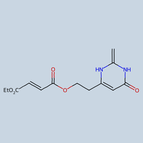 C=C1NC(=O)C=C(CCOC(=O)/C=C/C(=O)OCC)N1